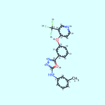 Cc1cccc(Nc2nnc(-c3cccc(Oc4ccncc4C(F)(F)F)c3)o2)c1